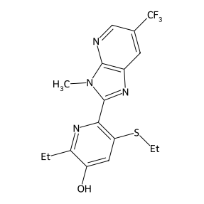 CCSc1cc(O)c(CC)nc1-c1nc2cc(C(F)(F)F)cnc2n1C